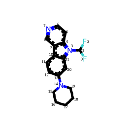 FC(F)n1c2ccncc2c2ccc(N3CCCCC3)cc21